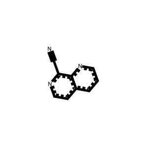 N#Cc1nccc2cccnc12